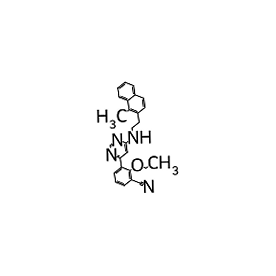 CCOc1c(C#N)cccc1-c1cc(NCCc2ccc3ccccc3c2C)ncn1